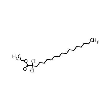 CCCCCCCCCCCCCCCCC(Cl)(Cl)C(=O)OCC